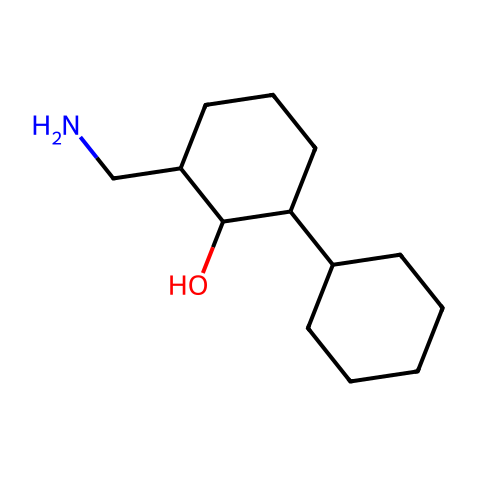 NCC1CCCC(C2CCCCC2)C1O